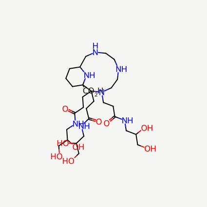 O=C(CCN1CCNCCNCC2CCCC(C(=O)O)(N2)C1(CCC(=O)NCC(O)CO)CCC(=O)NCC(O)CO)NCC(O)CO